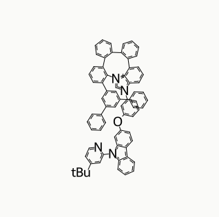 CC(C)(C)c1ccnc(-n2c3ccccc3c3ccc(Oc4cccc(-n5c[n+]6c7c(cccc75)-c5ccccc5-c5ccccc5-c5cccc(-c7cc(-c8ccccc8)cc(-c8ccccc8)c7)c5-6)c4)cc32)c1